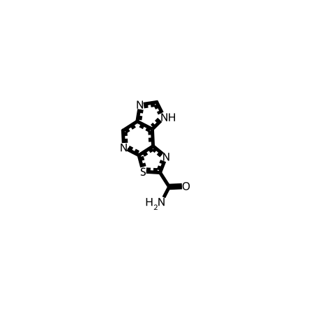 NC(=O)c1nc2c(ncc3nc[nH]c32)s1